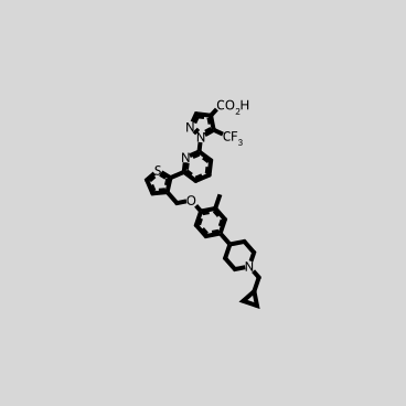 Cc1cc(C2CCN(CC3CC3)CC2)ccc1OCc1ccsc1-c1cccc(-n2ncc(C(=O)O)c2C(F)(F)F)n1